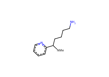 CNC(CCCCN)c1ccccn1